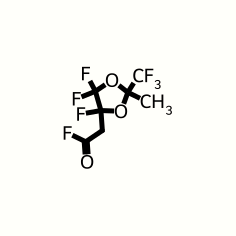 CC1(C(F)(F)F)OC(F)(F)C(F)(CC(=O)F)O1